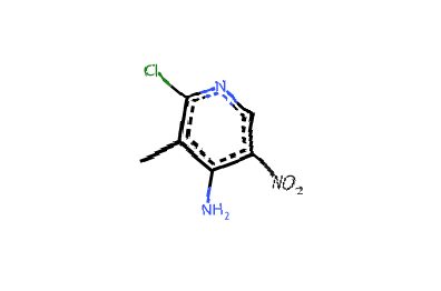 Cc1c(Cl)ncc([N+](=O)[O-])c1N